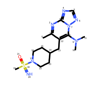 Cc1nc2ncnn2c(N(C)C)c1CC1CCN(S(C)(=N)=O)CC1